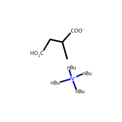 CC(CC(=O)O)C(=O)[O-].CCCC[N+](CCCC)(CCCC)CCCC